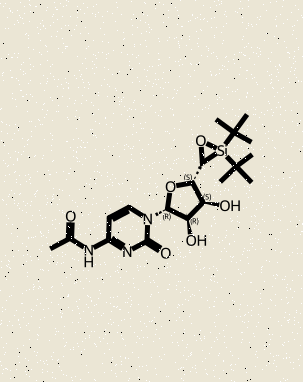 CC(=O)Nc1ccn([C@@H]2O[C@H](C3O[Si]3(C(C)(C)C)C(C)(C)C)[C@@H](O)[C@H]2O)c(=O)n1